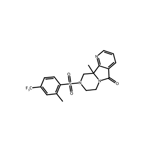 Cc1cc(C(F)(F)F)ccc1S(=O)(=O)N1CCN2C(=O)c3cccnc3C2(C)C1